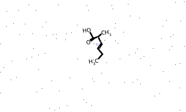 CC/C=C/C(C)C(=O)O